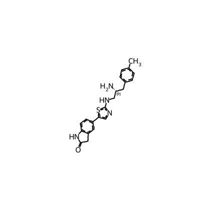 Cc1ccc(C[C@@H](N)CNc2ncc(-c3ccc4c(c3)CC(=O)N4)s2)cc1